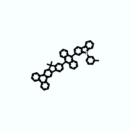 Cc1cccc(-n2c3ccccc3c3ccc(-c4c5ccccc5c(-c5ccc6c(c5)C(C)(C)c5cc7c8ccccc8c8ccccc8c7cc5-6)c5ccccc45)cc32)c1